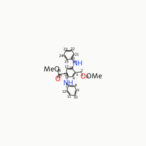 COOCc1cc(Nc2ccccc2)c(C(=O)OC)cc1Nc1ccccc1